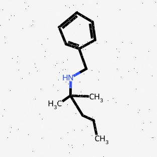 CCCC(C)(C)NCc1ccccc1